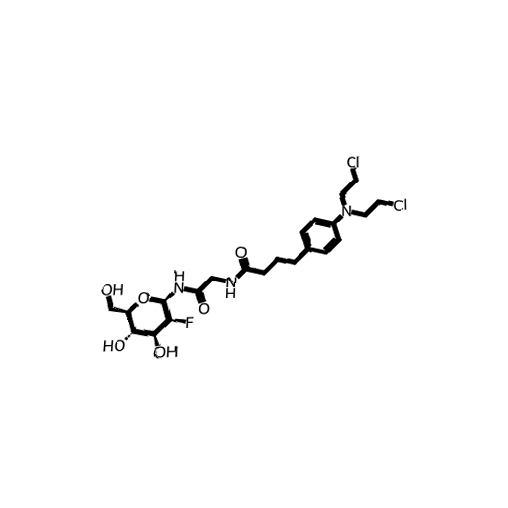 O=C(CCCc1ccc(N(CCCl)CCCl)cc1)NCC(=O)N[C@@H]1O[C@H](CO)[C@@H](O)[C@H](O)[C@@H]1F